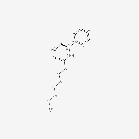 CCCCCCCC(=O)N[C@@H](CO)c1ccccc1